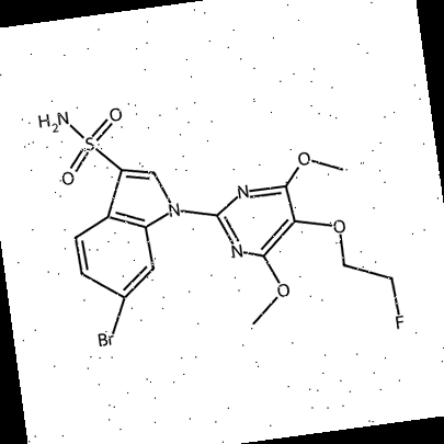 COc1nc(-n2cc(S(N)(=O)=O)c3ccc(Br)cc32)nc(OC)c1OCCF